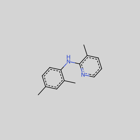 Cc1ccc(Nc2ncccc2C)c(C)c1